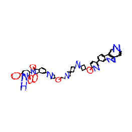 Cn1c2ccncc2c2ccc(-c3ccc(O[C@H]4C[C@H](N(C)C5CC6(C5)CN(CCOC5CN(c7ccc8c(c7)C(=O)N(C7CCC(=O)NC7=O)C8=O)C5)C6)C4)nc3)cc21